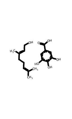 CC(C)=CCCC(C)=CCO.O=C(O)c1cc(O)c(O)c(O)c1